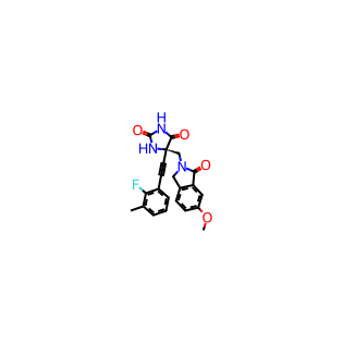 COc1ccc2c(c1)C(=O)N(C[C@@]1(C#Cc3cccc(C)c3F)NC(=O)NC1=O)C2